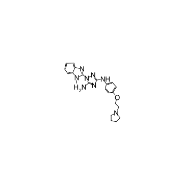 Cn1c(-n2nc(Nc3ccc(OCCN4CCCC4)cc3)nc2N)nc2ccccc21